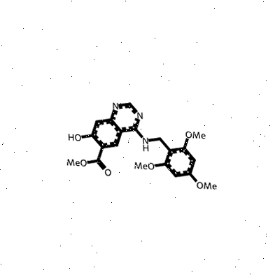 COC(=O)c1cc2c(NCc3c(OC)cc(OC)cc3OC)ncnc2cc1O